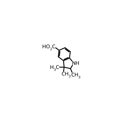 CC1Nc2ccc(C(=O)O)cc2C1(C)C